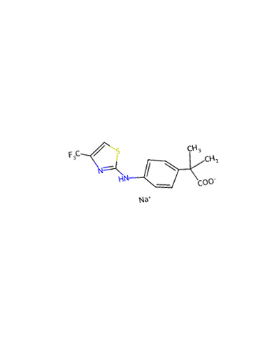 CC(C)(C(=O)[O-])c1ccc(Nc2nc(C(F)(F)F)cs2)cc1.[Na+]